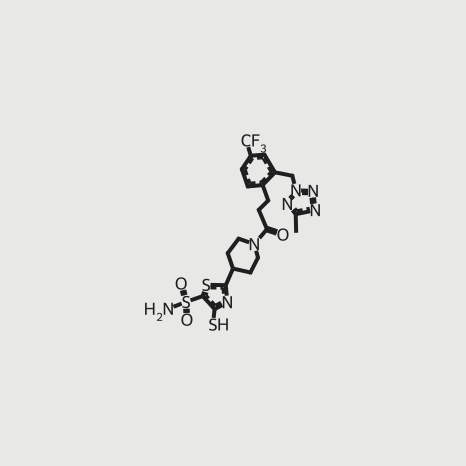 Cc1nnn(Cc2cc(C(F)(F)F)ccc2CCC(=O)N2CCC(c3nc(S)c(S(N)(=O)=O)s3)CC2)n1